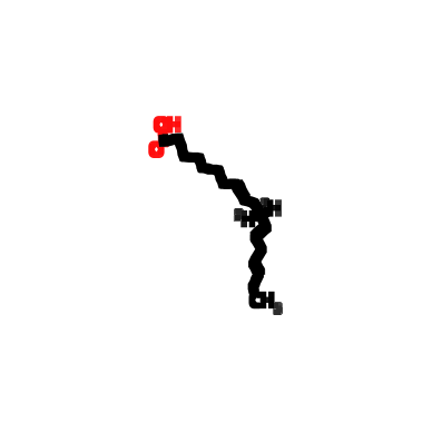 [2H]C([2H])(C=CCC=CCC)CC=CCCCCCCC(=O)O